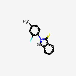 Cc1ccc(-n2[se]c3ccccc3c2=S)c(F)c1